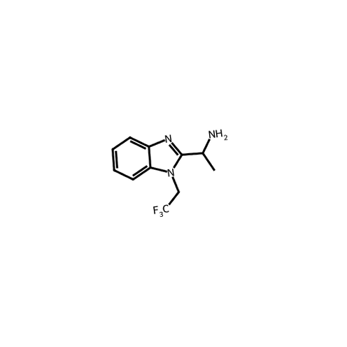 CC(N)c1nc2ccccc2n1CC(F)(F)F